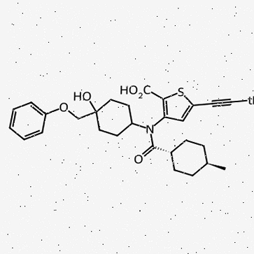 CC(C)(C)C#Cc1cc(N(C(=O)[C@H]2CC[C@H](C)CC2)C2CCC(O)(COc3ccccc3)CC2)c(C(=O)O)s1